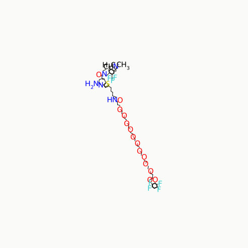 CCCN(Cc1ccc(CN(C)C)cc1C(F)(F)F)C(=O)C1=Cc2sc(CCCCCNC(=O)CCOCCOCCOCCOCCOCCOCCOCCOCCOCCOCCC(=O)Oc3c(F)c(F)cc(F)c3F)cc2N=C(N)C1